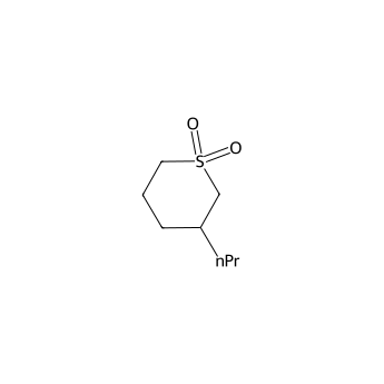 CCCC1CCCS(=O)(=O)C1